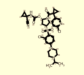 CC(C)N1CCN(c2ccc(S(=O)(=O)[C@@H]3C[C@H](OC(=O)NC4(C#N)CC4)N(C(=O)C4(c5ccc(Cl)nc5)CC4)C3)c(Cl)c2)CC1